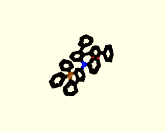 c1ccc(-c2ccc(-c3c(-c4ccccc4)cccc3N(c3ccccc3)c3ccc4c(c3)S(c3ccccc3)(c3ccccc3)c3ccccc3-4)cc2)cc1